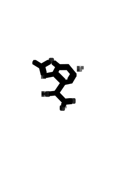 Cc1nc2c(C(O)C(=O)[O-])cccc2o1.[Li+]